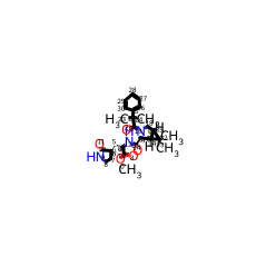 COC(=O)[C@H](C[C@@H]1CCNC1=O)NC(=O)[C@@H]1[C@@H]2[C@H](CN1C(=O)C(C)(C)c1ccccc1)C2(C)C